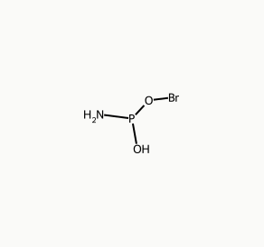 NP(O)OBr